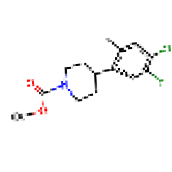 Cc1cc(Cl)c(Cl)cc1C1CCN(C(=O)OC(C)(C)C)CC1